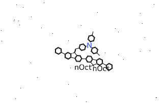 CCCCCCCCC1(CCCCCCCC)c2cc(-c3ccccc3)ccc2-c2ccc(-c3ccc4c(c3)/C(=C\c3ccc(N(c5ccc(C)cc5)c5ccc(C)cc5)cc3)c3cc(-c5ccccc5)ccc3-4)cc21